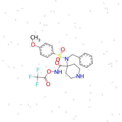 COc1ccc(S(=O)(=O)N(Cc2ccccc2)C2(C(=O)NOC(=O)C(F)(F)F)CCNCC2)cc1